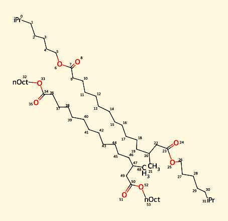 CC(C)CCCCCOC(=O)CCCCCCCCCCCC(C)CC(=O)OCCCCCC(C)C.CCCCCCCCOC(=O)CCCCCCCCCCCC(C)CC(=O)OCCCCCCCC